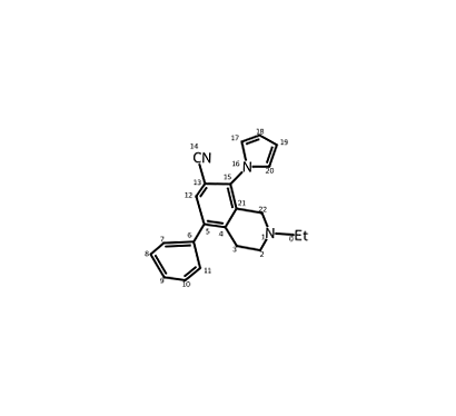 CCN1CCc2c(-c3ccccc3)cc(C#N)c(-n3cccc3)c2C1